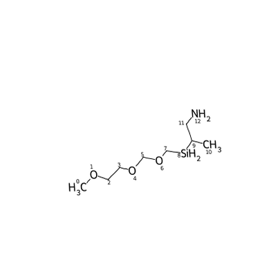 COCCOCOC[SiH2]C(C)CN